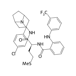 CSCC[C@H](NC(=O)c1ccccc1Nc1cccc(C(F)(F)F)c1)C(=O)NC1CC2CCC(C1)N2Cc1ccc(Cl)cc1